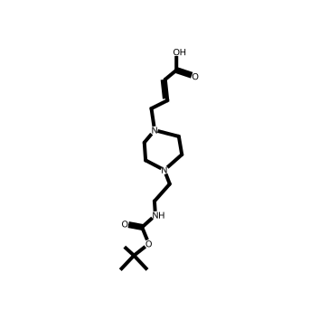 CC(C)(C)OC(=O)NCCN1CCN(C/C=C/C(=O)O)CC1